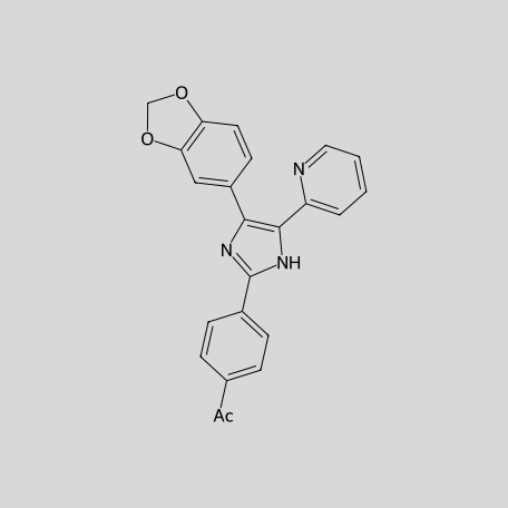 CC(=O)c1ccc(-c2nc(-c3ccc4c(c3)OCO4)c(-c3ccccn3)[nH]2)cc1